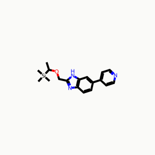 CC(OCc1nc2ccc(-c3ccncc3)cc2[nH]1)[Si](C)(C)C